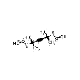 CC(C)(C#CC(C)(C)OOO)OOO